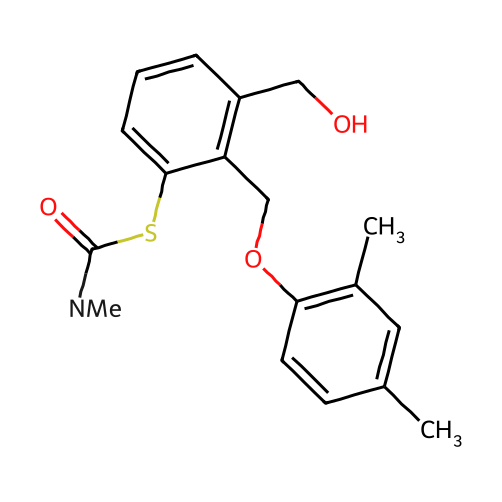 CNC(=O)Sc1cccc(CO)c1COc1ccc(C)cc1C